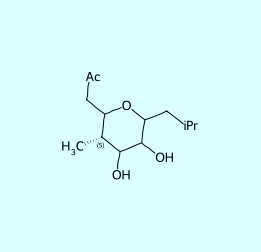 CC(=O)CC1OC(CC(C)C)C(O)C(O)[C@@H]1C